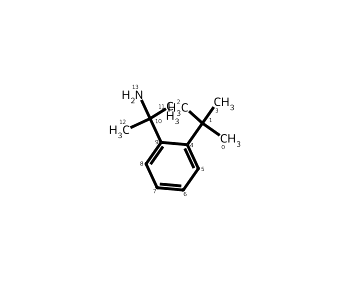 CC(C)(C)c1ccccc1C(C)(C)N